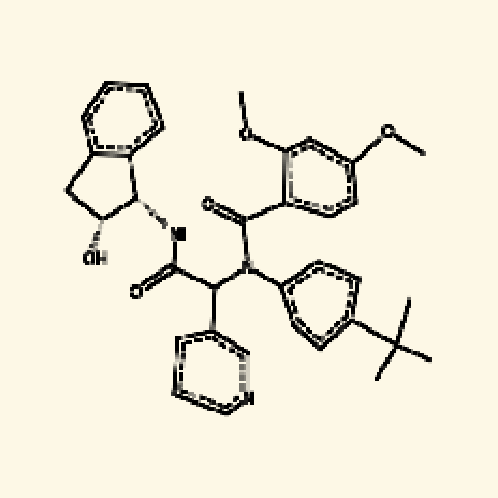 COc1ccc(C(=O)N(c2ccc(C(C)(C)C)cc2)C(C(=O)N[C@H]2c3ccccc3C[C@H]2O)c2cccnc2)c(OC)c1